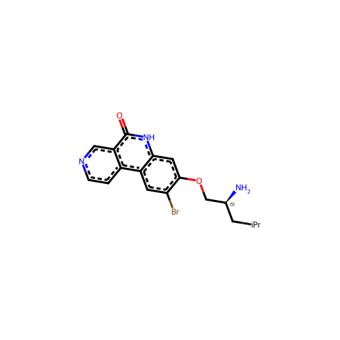 CC(C)C[C@H](N)COc1cc2[nH]c(=O)c3cnccc3c2cc1Br